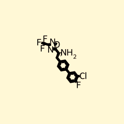 N[C@H](Cc1ccc(-c2ccc(F)c(Cl)c2)cc1)c1nc(C(F)(F)F)no1